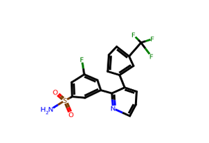 NS(=O)(=O)c1cc(F)cc(-c2ncccc2-c2cccc(C(F)(F)F)c2)c1